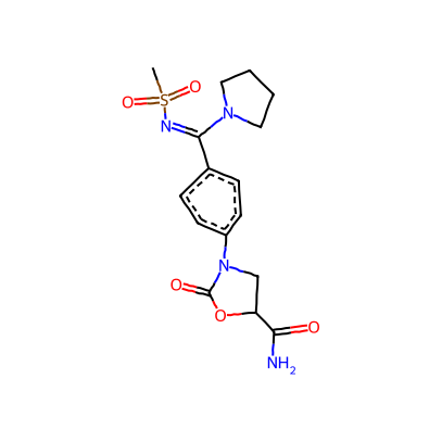 CS(=O)(=O)N=C(c1ccc(N2CC(C(N)=O)OC2=O)cc1)N1CCCC1